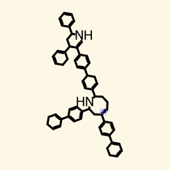 C1=CCCC(c2ccc(/C3=C/CCC(C4=CCC(c5ccc(C6=CNC(c7ccccc7)CC6C6=CC=CCC6)cc5)C=C4)NC(c4ccc(C5=CCCC=C5)cc4)C3)cc2)=C1